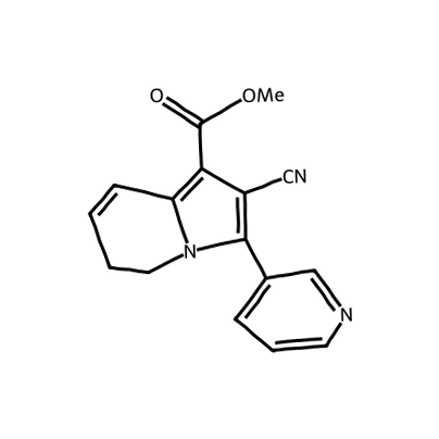 COC(=O)c1c(C#N)c(-c2cccnc2)n2c1C=CCC2